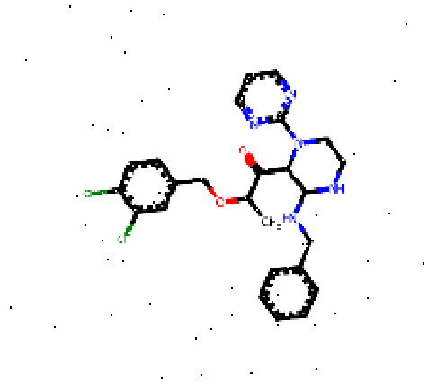 CC(OCc1ccc(Cl)c(Cl)c1)C(=O)C1C(NCc2ccccc2)NCCN1c1ncccn1